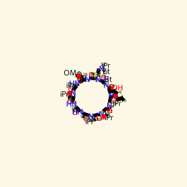 C/C=C/C[C@@H](C)[C@@H](O)[C@H]1C(=O)N[C@@H](CC)C(=O)N(C)[C@H](SCCN(CC)C(C)C)C(=O)N(C)[C@@H](CC(C)(C)OC)C(=O)N[C@@H](C(C)C)C(=O)N(C)[C@@H](CC(C)C)C(=O)N[C@@H](C)C(=O)N[C@H](C)C(=O)N(C)[C@@H](CC(C)C)C(=O)N(C)[C@@H](CC(C)C)C(=O)N(C)[C@@H](C(C)C)C(=O)N1C